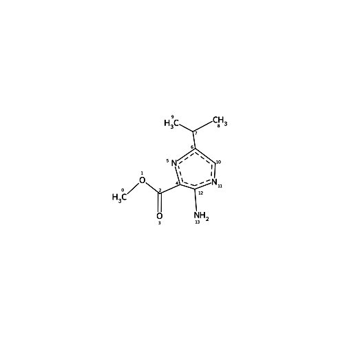 COC(=O)c1nc(C(C)C)cnc1N